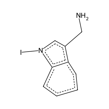 NCc1cn(I)c2ccccc12